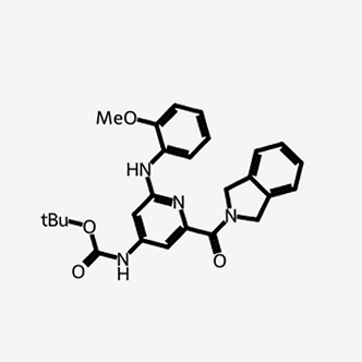 COc1ccccc1Nc1cc(NC(=O)OC(C)(C)C)cc(C(=O)N2Cc3ccccc3C2)n1